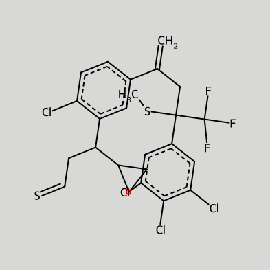 C=C(CC(SC)(c1cc(Cl)c(Cl)c(Cl)c1)C(F)(F)F)c1ccc(Cl)c(C(CC=S)C2CC2)c1